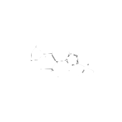 CS(=O)(=O)c1ccc(C(=CC2CCCC2)C(=O)O)s1